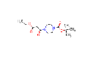 CCOC(=O)CC(=O)N1CCN(C(=O)OC(C)(C)C)CC1